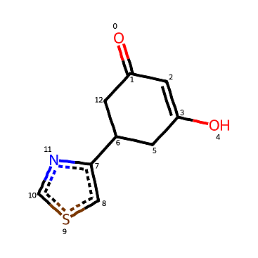 O=C1C=C(O)CC(c2cscn2)C1